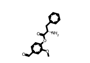 COc1cc(C=O)ccc1OC(=O)[C@@H](N)Cc1ccccc1